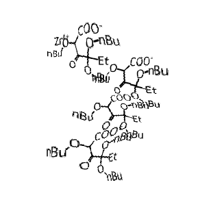 CCCCOC(C(=O)[O-])C(=O)C(CC)(OCCCC)OCCCC.CCCCOC(C(=O)[O-])C(=O)C(CC)(OCCCC)OCCCC.CCCCOC(C(=O)[O-])C(=O)C(CC)(OCCCC)OCCCC.CCCCOC(C(=O)[O-])C(=O)C(CC)(OCCCC)OCCCC.[Zr+4]